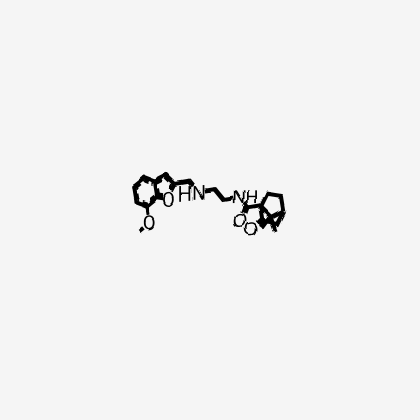 COc1cccc2cc(CNCCNC(=O)C34CCC(CC3=O)C4(C)C)oc12